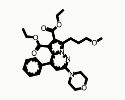 CCOC(=O)c1c(C(=O)OCC)c2c(-c3ccccc3)cc(N3CCOCC3)nn2c1CCCOC